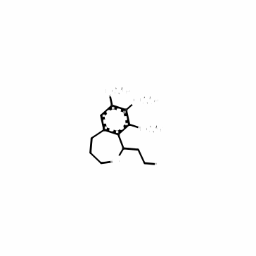 COc1cc2c(c(OC)c1OC)C(CCCl)OCCC2